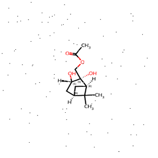 CC(=O)OC[C@@]1(O)[C@@H]2C[C@H](C[C@@H]1O)C2(C)C